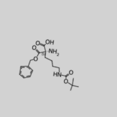 CC(C)(C)OC(=O)NCCCC[C@](N)(C(=O)O)C(=O)OCc1ccccc1